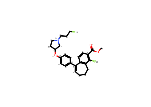 COC(=O)c1ccc2c(c1F)CCCC=C2c1ccc(OC2CCN(CCCF)C2)cc1